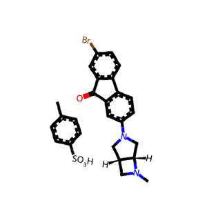 CN1C[C@@H]2CN(c3ccc4c(c3)C(=O)c3cc(Br)ccc3-4)C[C@@H]21.Cc1ccc(S(=O)(=O)O)cc1